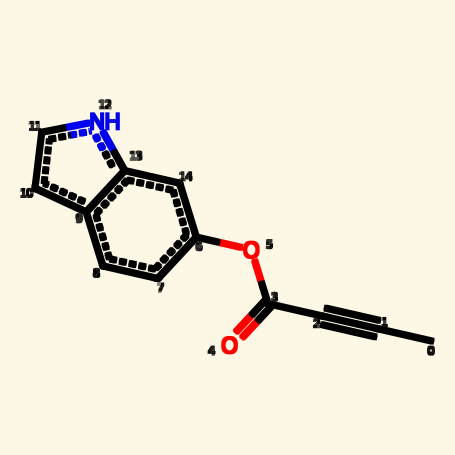 CC#CC(=O)Oc1ccc2cc[nH]c2c1